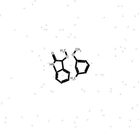 COC1C(=O)Nc2ccccc21.COc1cccc(C)c1